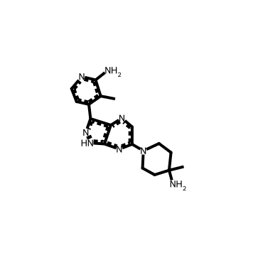 Cc1c(-c2n[nH]c3nc(N4CCC(C)(N)CC4)cnc23)ccnc1N